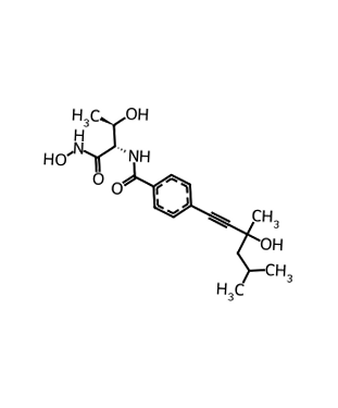 CC(C)CC(C)(O)C#Cc1ccc(C(=O)N[C@H](C(=O)NO)[C@@H](C)O)cc1